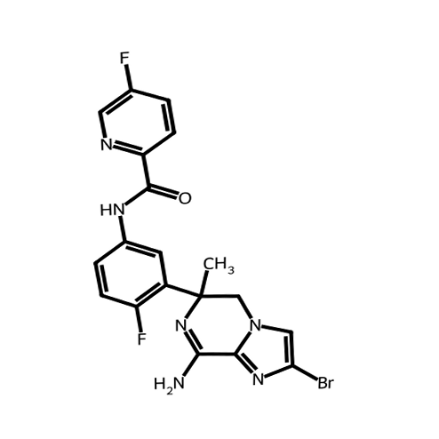 CC1(c2cc(NC(=O)c3ccc(F)cn3)ccc2F)Cn2cc(Br)nc2C(N)=N1